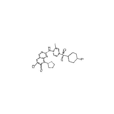 Cc1cc(S(=O)(=O)C2CCC(C(C)C)CC2)ccc1Nc1ncc2cc(Cl)c(=O)n(C3CCCC3)c2n1